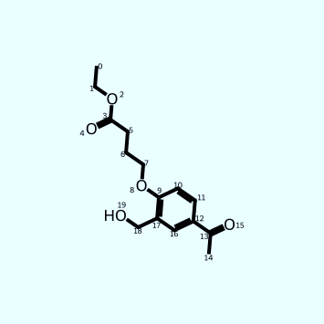 CCOC(=O)CCCOc1ccc(C(C)=O)cc1CO